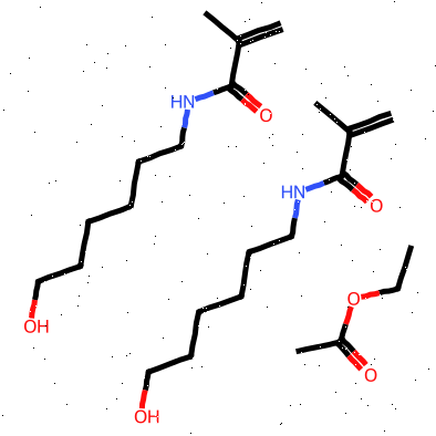 C=C(C)C(=O)NCCCCCCO.C=C(C)C(=O)NCCCCCCO.CCOC(C)=O